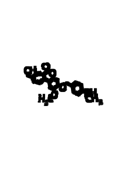 CBc1ccc(COc2cc3oc(=O)c4cc(CC)ccc4c3cc2OC)cc1